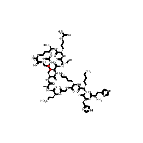 C[C@H](NC(=O)[C@H](CCC(=O)O)NC(=O)CNC(=O)[C@H](CCCCN)NC(=O)[C@H](CCCCN)NC(=O)[C@H](Cc1c[nH]cn1)NC(=O)[C@@H](N)Cc1c[nH]cn1)C(=O)N[C@@H](CCCNC(=N)N)C(=O)N[C@@H](CCCNC(=N)N)C(=O)N[C@@H](CO)C(=O)N[C@@H](CCCNC(=N)N)C(=O)N[C@@H](CCCNC(=N)N)C(=O)O